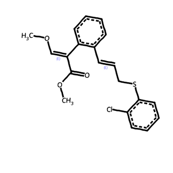 CO/C=C(/C(=O)OC)c1ccccc1/C=C/CSc1ccccc1Cl